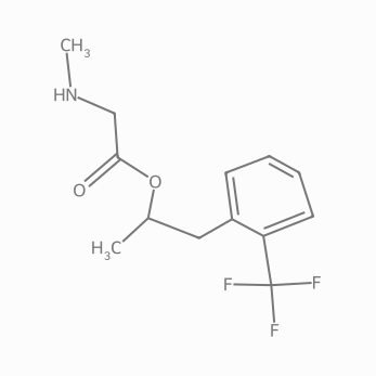 CNCC(=O)OC(C)Cc1ccccc1C(F)(F)F